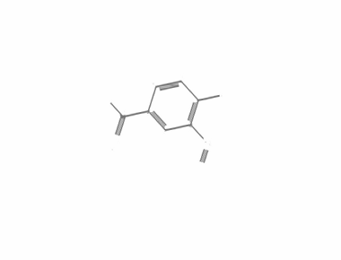 O=Nc1cc(C(=O)O)ccc1F